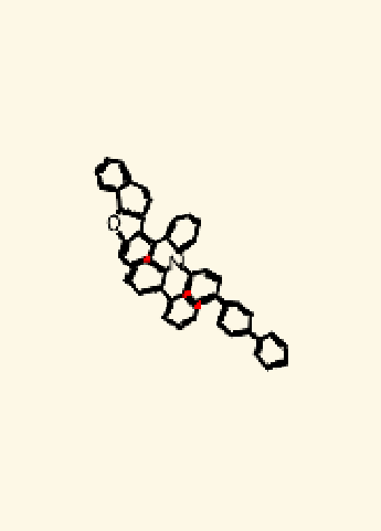 c1ccc(-c2ccc(-c3ccc(N(c4ccccc4-c4ccccc4)c4ccccc4-c4cccc5oc6c7ccccc7ccc6c45)cc3)cc2)cc1